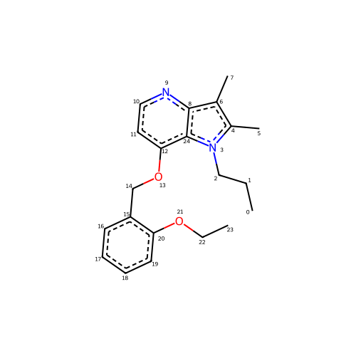 CCCn1c(C)c(C)c2nccc(OCc3ccccc3OCC)c21